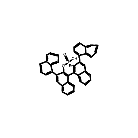 O=P(O)(O)Oc1c(-c2cccc3ccccc23)cc2ccccc2c1-c1cc(-c2cccc3ccccc23)cc2ccccc12